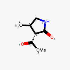 COC(=O)[C@H]1C(=O)NCC1C